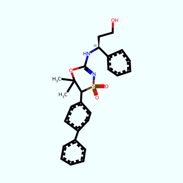 CC1(C)OC(N[C@@H](CCO)c2ccccc2)=NS(=O)(=O)C1c1ccc(-c2ccccc2)cc1